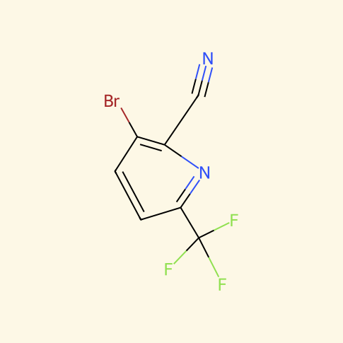 N#Cc1nc(C(F)(F)F)ccc1Br